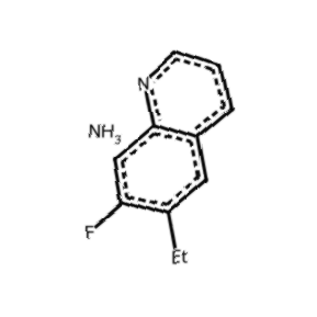 CCc1cc2cccnc2cc1F.N